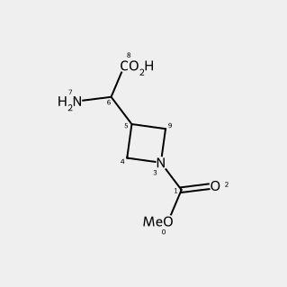 COC(=O)N1CC(C(N)C(=O)O)C1